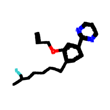 C=CCOc1cc(-c2ncccn2)ccc1CCCCCC(C)F